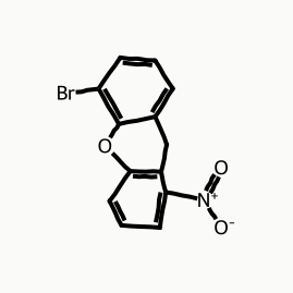 O=[N+]([O-])c1cccc2c1Cc1cccc(Br)c1O2